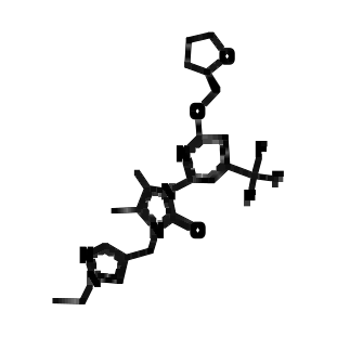 CCn1cc(Cn2c(C)c(C)n(-c3cc(C(F)(F)F)cc(OC[C@H]4CCCO4)n3)c2=O)cn1